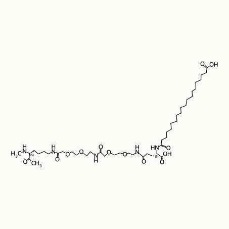 CN[C@@H](CCCCNC(=O)COCCOCCNC(=O)COCCOCCNC(=O)CC[C@H](NC(=O)CCCCCCCCCCCCCCCCCCC(=O)O)C(=O)O)C(C)=O